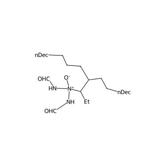 CCCCCCCCCCCCCC(CCCCCCCCCCCC)C(CC)[N+]([O-])(NC=O)NC=O